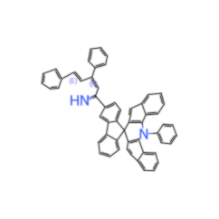 N=C(/C=C(\C=C\c1ccccc1)c1ccccc1)c1ccc2c(c1)-c1ccccc1C21c2ccc3ccccc3c2N(c2ccccc2)c2c1ccc1ccccc21